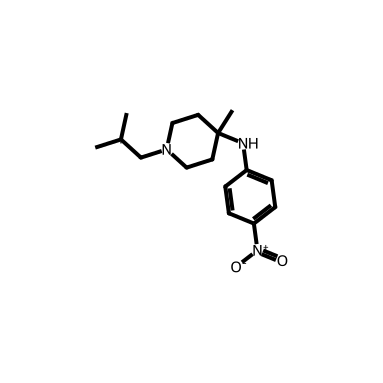 C[C](C)CN1CCC(C)(Nc2ccc([N+](=O)[O-])cc2)CC1